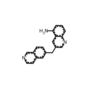 Nc1cccc2ncc(Cc3ccc4cnccc4c3)cc12